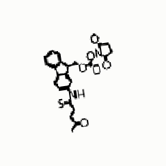 CC(=O)CCC(=S)Nc1ccc2c(c1)C(COC(=O)ON1C(=O)CCC1=O)c1ccccc1-2